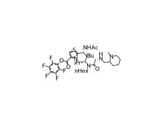 CCCCCCN(C(=O)[C@@H](NCC1CCCCN1C)[C@@H](C)CC)[C@H](C[C@@H](NC(C)=O)c1nc(C(=O)Oc2c(F)c(F)c(F)c(F)c2F)cs1)C(C)C